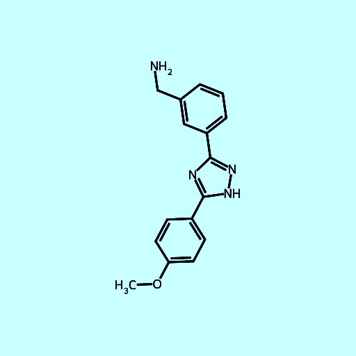 COc1ccc(-c2nc(-c3cccc(CN)c3)n[nH]2)cc1